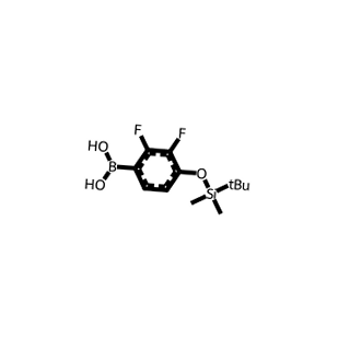 CC(C)(C)[Si](C)(C)Oc1ccc(B(O)O)c(F)c1F